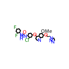 COc1cc2c(Oc3ccc(NC(=O)Nc4ccc(F)cc4F)c(Cl)c3)ccnc2cc1OCCn1ccnn1